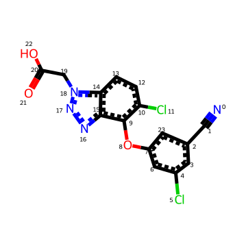 N#Cc1cc(Cl)cc(Oc2c(Cl)ccc3c2nnn3CC(=O)O)c1